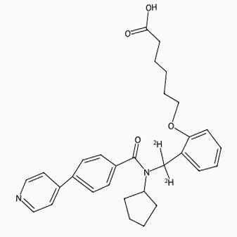 [2H]C([2H])(c1ccccc1OCCCCCC(=O)O)N(C(=O)c1ccc(-c2ccncc2)cc1)C1CCCC1